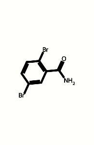 NC(=O)c1cc(Br)ccc1Br